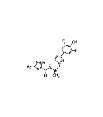 CC(=O)c1cc(C(=O)N[C@H](C)Cn2ccc(-c3cc(F)c(C#N)c(F)c3)n2)[nH]n1